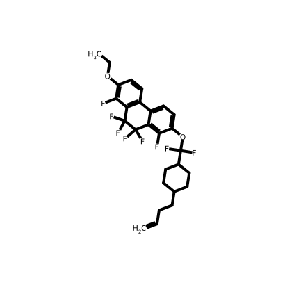 C=CCCC1CCC(C(F)(F)Oc2ccc3c(c2F)C(F)(F)C(F)(F)c2c-3ccc(OCC)c2F)CC1